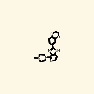 CN1CCN(c2nccc3[nH]c(-c4ccc5c(c4)OCCO5)nc23)CC1